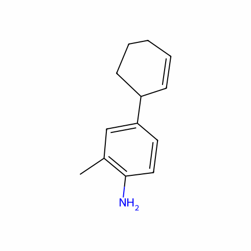 Cc1cc(C2C=CCCC2)ccc1N